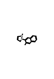 Cc1cc2ccccc2cc1N1CC=CN1C